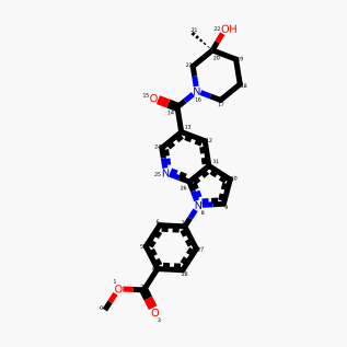 COC(=O)c1ccc(-n2ccc3cc(C(=O)N4CCC[C@](C)(O)C4)cnc32)cc1